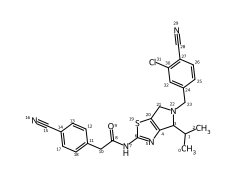 CC(C)C1c2nc(NC(=O)Cc3ccc(C#N)cc3)sc2CN1Cc1ccc(C#N)c(Cl)c1